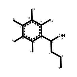 CCCC(O)c1c(C)c(C)c(C)c(C)c1C